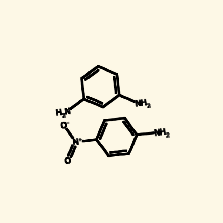 Nc1ccc([N+](=O)[O-])cc1.Nc1cccc(N)c1